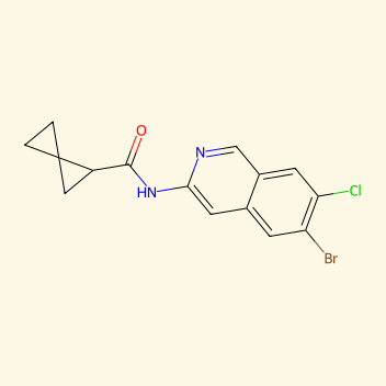 O=C(Nc1cc2cc(Br)c(Cl)cc2cn1)C1CC12CC2